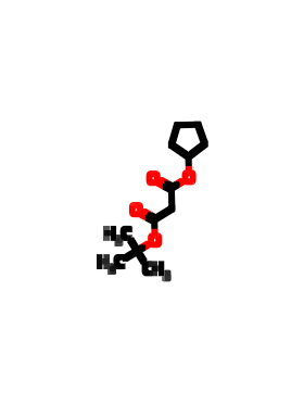 CC(C)(C)OC(=O)CC(=O)OC1CCCC1